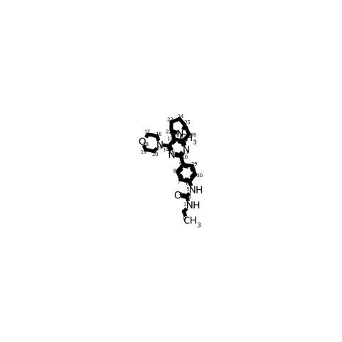 CCNC(=O)Nc1ccc(-c2nc3c(c(N4CCOCC4)n2)C2CCC(C3)N2C)cc1